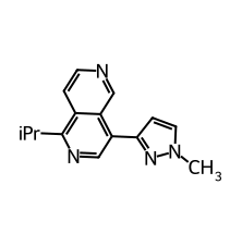 CC(C)c1ncc(-c2ccn(C)n2)c2cnccc12